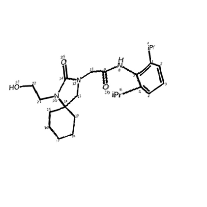 CC(C)c1cccc(C(C)C)c1NC(=O)CN1CC2(CCCCC2)N(CCO)C1=O